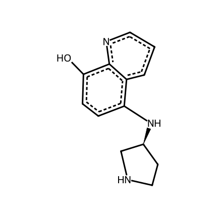 Oc1ccc(N[C@H]2CCNC2)c2cccnc12